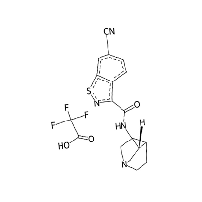 N#Cc1ccc2c(C(=O)N[C@H]3CN4CCC3CC4)nsc2c1.O=C(O)C(F)(F)F